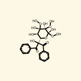 O=C(c1ccccc1)C(O)(C(=O)c1ccccc1)[C@H]1O[C@@](O)(OO)[C@](O)(OO)[C@@](O)(OO)[C@@H]1O